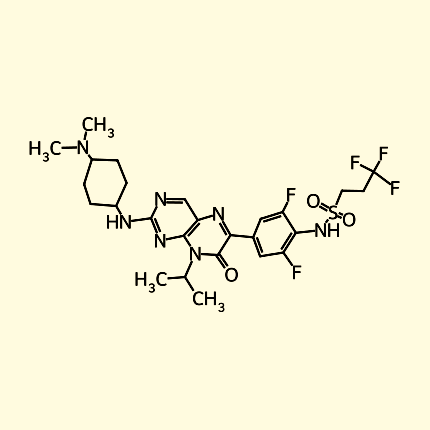 CC(C)n1c(=O)c(-c2cc(F)c(NS(=O)(=O)CCC(F)(F)F)c(F)c2)nc2cnc(NC3CCC(N(C)C)CC3)nc21